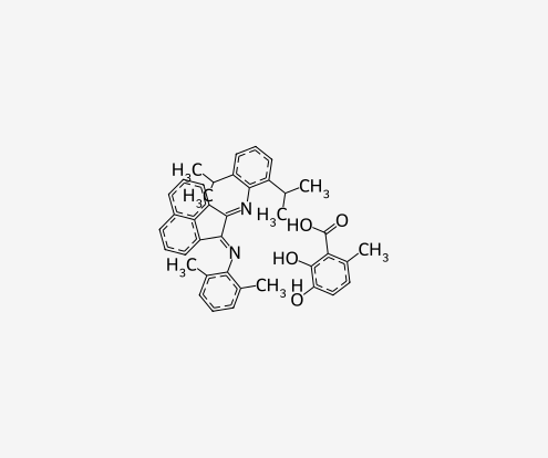 Cc1ccc(O)c(O)c1C(=O)O.Cc1cccc(C)c1N=C1C(=Nc2c(C(C)C)cccc2C(C)C)c2cccc3cccc1c23